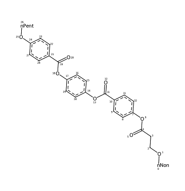 CCCCCCCCCOCCC(=O)Oc1ccc(C(=O)Oc2ccc(OC(=O)c3ccc(OCCCCC)cc3)cc2)cc1